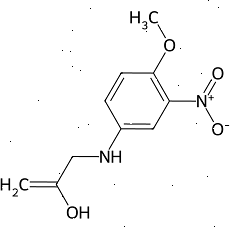 C=C(O)CNc1ccc(OC)c([N+](=O)[O-])c1